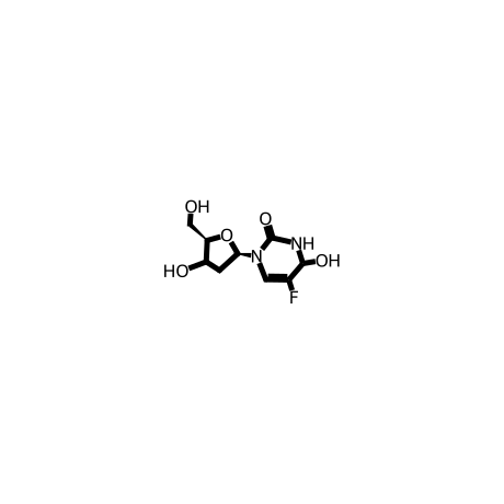 O=C1NC(O)C(F)=CN1[C@H]1CC(O)[C@@H](CO)O1